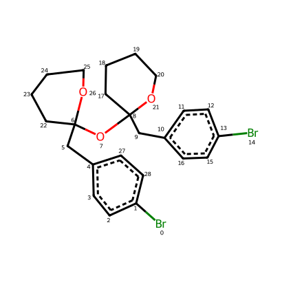 Brc1ccc(CC2(OC3(Cc4ccc(Br)cc4)CCCCO3)CCCCO2)cc1